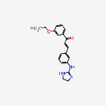 O=C(O)COc1cccc(C(=O)C=Cc2cccc(NC3=NCCN3)c2)c1